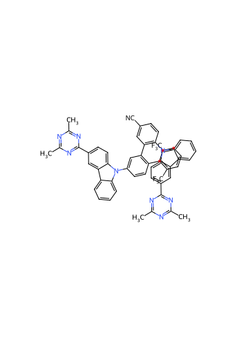 Cc1nc(C)nc(-c2ccc3c(c2)c2ccccc2n3-c2ccc(-c3c(C(F)(F)F)cccc3C(F)(F)F)c(-c3cc(C#N)ccc3-n3c4ccccc4c4cc(-c5nc(C)nc(C)n5)ccc43)c2)n1